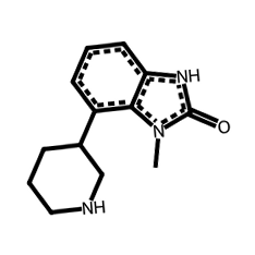 Cn1c(=O)[nH]c2cccc(C3CCCNC3)c21